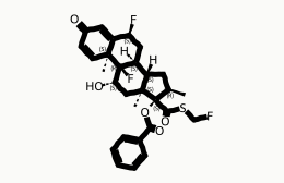 C[C@@H]1C[C@H]2[C@@H]3C[C@H](F)C4=CC(=O)C=C[C@]4(C)[C@@]3(F)[C@@H](O)C[C@]2(C)[C@]1(OC(=O)c1ccccc1)C(=O)SCF